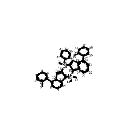 Cc1ccccc1-c1cccc2c1C=C1[CH]2[Hf]([CH3])([CH3])[CH]2C(=Cc3c(-c4ccccc4C)cccc32)[Si]1(C)c1ccccc1